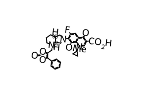 COc1c(N2C[C@@H]3CCCN(Cc4oc(=O)oc4-c4ccccc4)[C@@H]3C2)c(F)cc2c(=O)c(C(=O)O)cn(C3CC3)c12